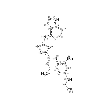 Cc1cc(-c2nnc(Nc3cccc4[nH]ccc34)o2)nc2c(C(C)(C)C)cc(NCC(F)(F)F)cc12